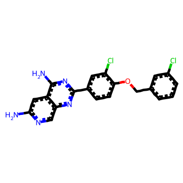 Nc1cc2c(N)nc(-c3ccc(OCc4cccc(Cl)c4)c(Cl)c3)nc2cn1